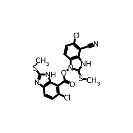 CSc1nc2ccc(Cl)c(C(=O)ON3c4ccc(Cl)c(C#N)c4NC3SC)c2[nH]1